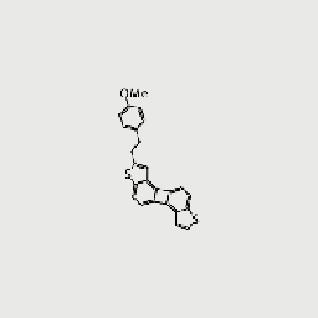 COc1ccc(CCc2cc3c4c(ccc3s2)-c2c-4ccc3sccc23)cc1